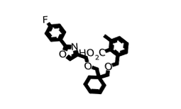 Cc1cccc(COCC2(COCc3coc(-c4ccc(F)cc4)n3)CC=CCC2)c1C(=O)O